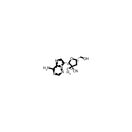 C[C@@]1(C#N)C[C@@H](CO)O[C@H]1c1cnc2c(N)ncnn12